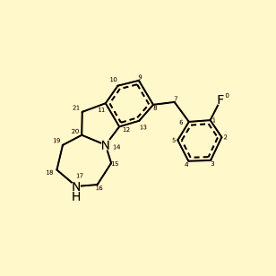 Fc1ccccc1Cc1ccc2c(c1)N1CCNCCC1C2